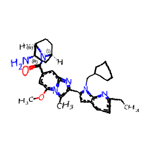 CCc1ccc2cc(-c3nc4cc(C(=O)N5[C@H]6CC[C@@H]5[C@H](N)C6)cc(OC)n4c3C)n(CC3CCCC3)c2n1